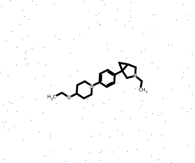 CCOC1CCN(c2ccc(C34CC3CN(CC)C4)cc2)CC1